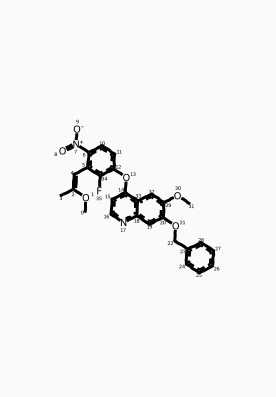 COC(C)=Cc1c([N+](=O)[O-])ccc(Oc2ccnc3cc(OCc4ccccc4)c(OC)cc23)c1F